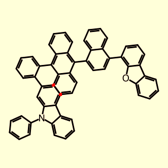 c1ccc(-n2c3ccccc3c3ccc(-c4ccccc4-c4c5ccccc5c(-c5ccc(-c6cccc7c6oc6ccccc67)c6ccccc56)c5ccccc45)cc32)cc1